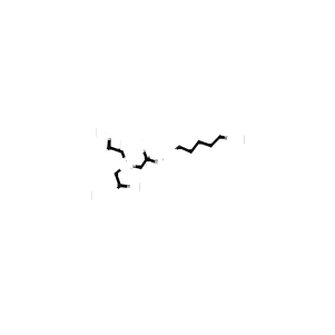 CC(C)[CH2][Al]([CH2]C(C)C)[CH2]C(C)C.CCCCCCC